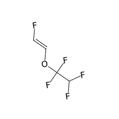 FC=COC(F)(F)C(F)F